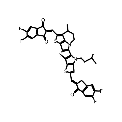 CC(C)CCn1c2cc(/C=C3\Cc4cc(F)c(F)cc4C3=O)sc2c2sc3c4sc(C=C5C(=O)c6cc(F)c(F)cc6C5=O)c5c4n(c3c21)CCC5C